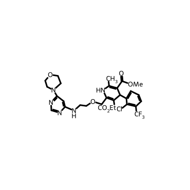 CCOC(=O)C1=C(COCCNc2cc(N3CCOCC3)ncn2)NC(C)=C(C(=O)OC)C1c1cccc(C(F)(F)F)c1Cl